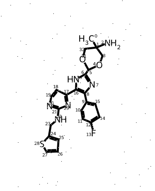 CC1(N)COC(c2nc(-c3ccc(F)cc3)c(-c3ccnc(NCc4cccs4)n3)[nH]2)OC1